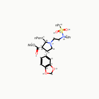 CCCCC[C@@H]1[C@@H](C(=O)OC)[C@@H](c2ccc3c(c2)OCO3)CN1CCN(CCC)S(=O)(=O)CCC